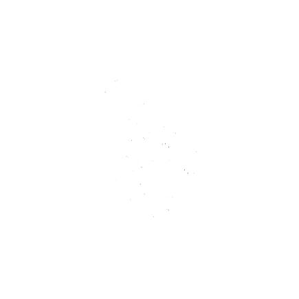 c1ccc2c(c1)-c1ccccc1-c1cnc3cccnc3c1-c1cc(-c3cccc4c3oc3ccccc34)ccc1-2